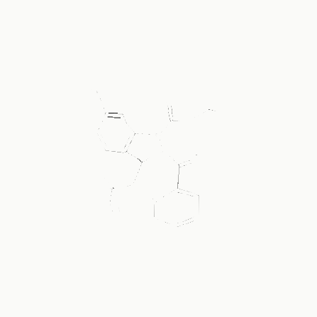 CCOC(=O)N1c2cc(Cl)ccc2C(CC(=O)O)C1C(=O)c1ccccn1